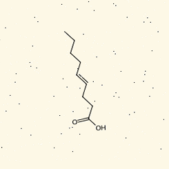 CCCCC=CCCC(=O)O